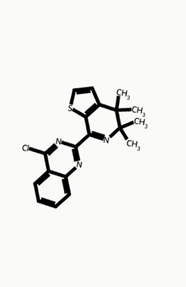 CC1(C)N=C(c2nc(Cl)c3ccccc3n2)c2sccc2C1(C)C